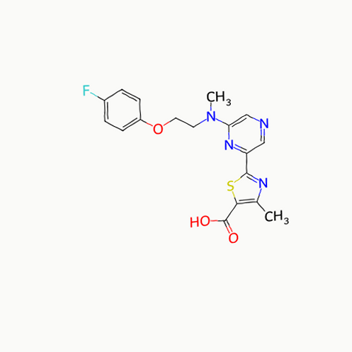 Cc1nc(-c2cncc(N(C)CCOc3ccc(F)cc3)n2)sc1C(=O)O